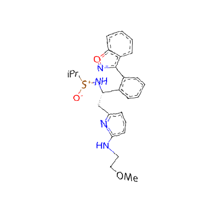 COCCNc1cccc(C[C@H](N[S+]([O-])C(C)C)c2ccccc2-c2noc3ccccc23)n1